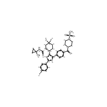 CS(=O)(=O)N1CCN(C(=O)c2ccc(-c3sc(-c4ccc(F)cc4)nc3[C@@H]3CCC(F)(F)C[C@H]3C(=O)NC3(C#N)CC3)cc2)CC1